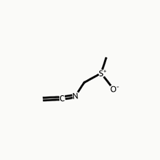 C=C=NC[S+](C)[O-]